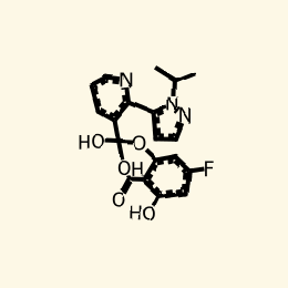 CC(C)n1nccc1-c1ncccc1C(O)(O)Oc1cc(F)cc(O)c1C=O